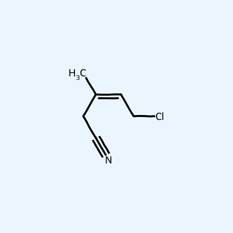 CC(=CCCl)CC#N